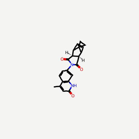 Cc1cc(=O)[nH]c2cc(N3C(=O)[C@@H]4C5C=CC([C@@H]4C3=O)C53CC3)ccc12